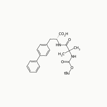 CC(C)(C)OC(=O)NC(C)(C)C(=O)N[C@H](Cc1ccc(-c2ccccc2)cc1)C(=O)O